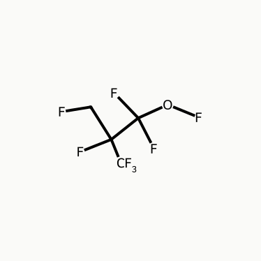 FCC(F)(C(F)(F)F)C(F)(F)OF